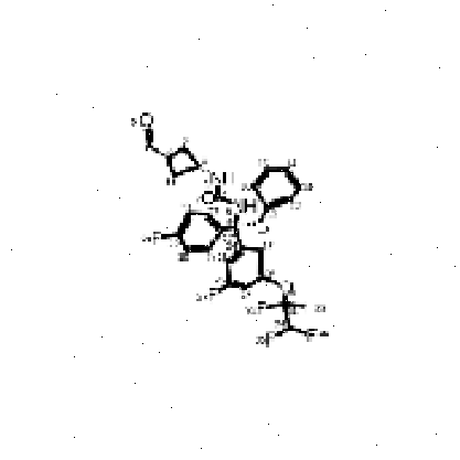 O=C[C@H]1C[C@H](NC(=O)N[C@](Cc2ccccc2)(c2ccc(F)cc2)c2cc(F)cc(OC(F)(F)C(F)F)c2)C1